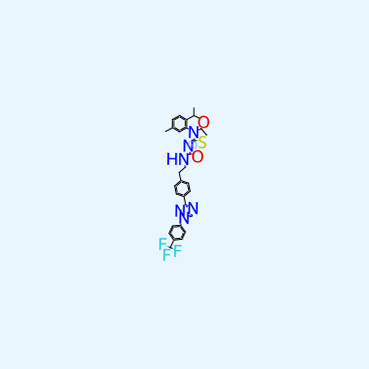 Cc1ccc(C(C)C)c(N2C(=O)CS/C2=N\C(=O)NCCc2ccc(-c3ncn(-c4ccc(C(F)(F)F)cc4)n3)cc2)c1